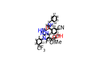 COC(=O)C1=C(C)N(c2cccc(C(F)(F)F)c2)c2n[nH]c(=O)n2[C@@H]1c1ccc(C#N)cc1C[N+](C)(C)Cc1ccccc1.O=CO